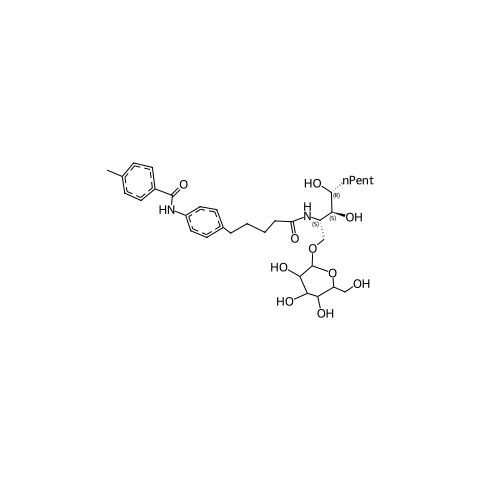 CCCCC[C@@H](O)[C@@H](O)[C@H](COC1OC(CO)C(O)C(O)C1O)NC(=O)CCCCc1ccc(NC(=O)c2ccc(C)cc2)cc1